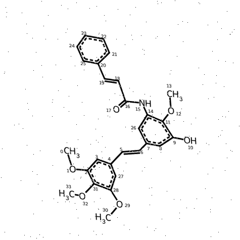 COc1cc(C=Cc2cc(O)c(OC)c(NC(=O)C=Cc3ccccc3)c2)cc(OC)c1OC